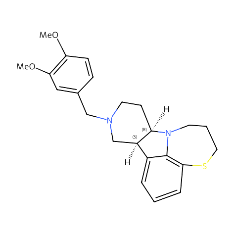 COc1ccc(CN2CC[C@@H]3[C@H](C2)c2cccc4c2N3CCCS4)cc1OC